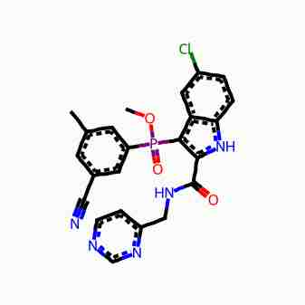 COP(=O)(c1cc(C)cc(C#N)c1)c1c(C(=O)NCc2ccncn2)[nH]c2ccc(Cl)cc12